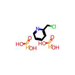 ClCc1ccccn1.O=[PH](O)O.O=[PH](O)O